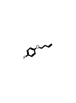 C=CCCOc1ccc(F)cc1